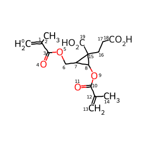 C=C(C)C(=O)OCC1C(OC(=O)C(=C)C)C1(CCC(=O)O)C(=O)O